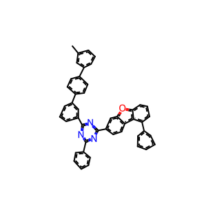 Cc1cccc(-c2ccc(-c3cccc(-c4nc(-c5ccccc5)nc(-c5ccc6c(c5)oc5cccc(-c7ccccc7)c56)n4)c3)cc2)c1